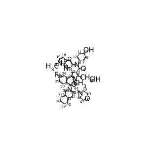 Cc1c(C(=O)N(c2ccc(O)cc2)c2cnc3c(ccn3C)c2)cc(-c2cc(F)ccc2C(=O)N2Cc3ccccc3C[C@H]2CN2CCOCC2)n1C.Cl